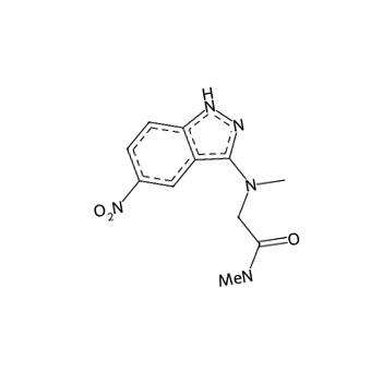 CNC(=O)CN(C)c1n[nH]c2ccc([N+](=O)[O-])cc12